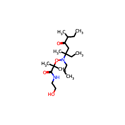 CCCN(OC(C)(C)C(=O)NCCO)C(C)(CC)CC(=O)C(C)CC